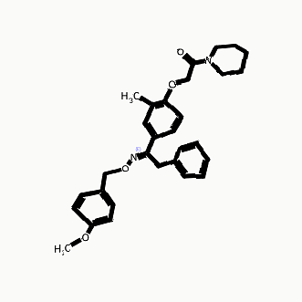 COc1ccc(CO/N=C(\Cc2ccccc2)c2ccc(OCC(=O)N3CCCCC3)c(C)c2)cc1